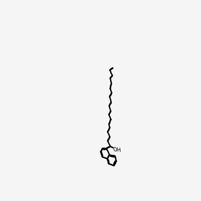 CCCCCCCCCCCCCCCCCCC(O)c1cccc2ccccc12